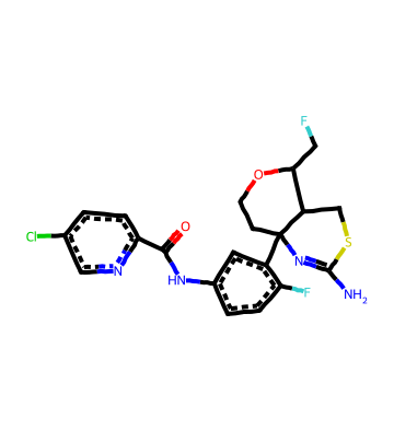 NC1=NC2(c3cc(NC(=O)c4ccc(Cl)cn4)ccc3F)CCOC(CF)C2CS1